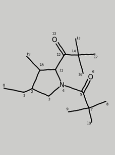 CCC1CN(C(=O)C(C)(C)C)C(C(=O)C(C)(C)C)C1C